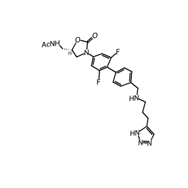 CC(=O)NC[C@H]1CN(c2cc(F)c(-c3ccc(CNCCCc4cnn[nH]4)cc3)c(F)c2)C(=O)O1